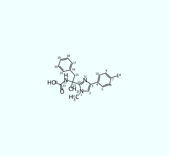 Cn1cc(-c2ccc(I)cc2)nc1C(C)(Cc1ccccc1)NC(=O)O